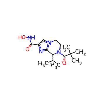 CC(C)C1c2nc(C(=O)NO)cn2CCN1C(=O)C(C)(C)C